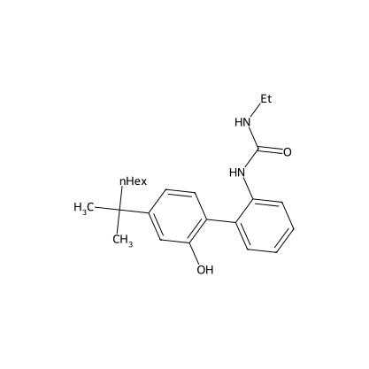 CCCCCCC(C)(C)c1ccc(-c2ccccc2NC(=O)NCC)c(O)c1